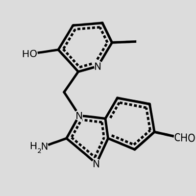 Cc1ccc(O)c(Cn2c(N)nc3cc(C=O)ccc32)n1